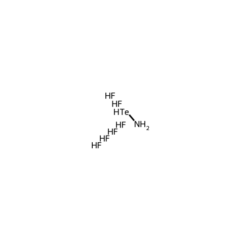 F.F.F.F.F.F.N[TeH]